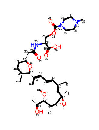 CO[C@H]([C@@H](C)[C@H]1O[C@]1(C)C[C@H](C)/C=C/C=C(\C)[C@H]1O[C@@H](CC(=O)N[C@@H](COC(=O)N2CCN(C)CC2)C(=O)O)CC[C@@H]1C)[C@@H](C)O